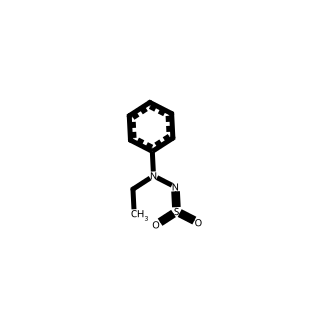 CCN(N=S(=O)=O)c1ccccc1